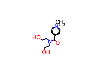 C[n+]1ccc(C(=O)N(CCO)CCO)cc1